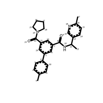 Cc1ccc(-c2cc(C(=O)NC(C)c3ccc(C)nc3)cc(C(=O)N3CCCC3)c2)cc1